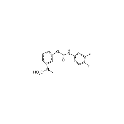 CN(C(=O)O)c1cccc(OC(=O)Nc2ccc(F)c(F)c2)c1